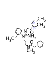 C=C/C=C\C(=C/C)C(=O)CN1c2cccc(CC)c2N(CCCN(C)C(=O)Cc2ccccc2)[C@@H]1N